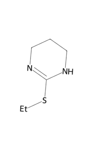 CCSC1=NCCCN1